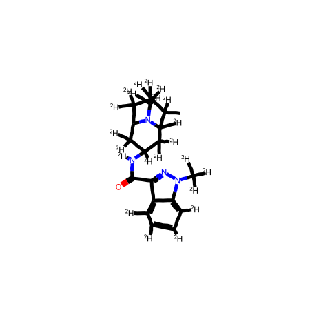 [2H]c1c([2H])c([2H])c2c(c(C(=O)N([2H])C3([2H])C([2H])([2H])C4N(C([2H])([2H])[2H])C([2H])(C3([2H])[2H])C([2H])(C)C([2H])([2H])C4([2H])[2H])nn2C([2H])([2H])[2H])c1[2H]